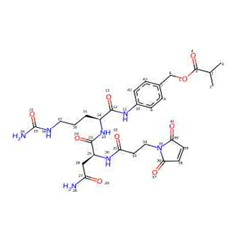 CC(C)C(=O)OCc1ccc(NC(=O)[C@H](CCCNC(N)=O)NC(=O)[C@H](CC(N)=O)NC(=O)CCN2C(=O)C=CC2=O)cc1